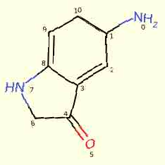 NC1C=C2C(=O)CNC2=CC1